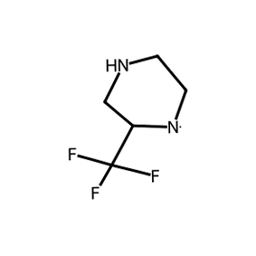 FC(F)(F)C1CNCC[N]1